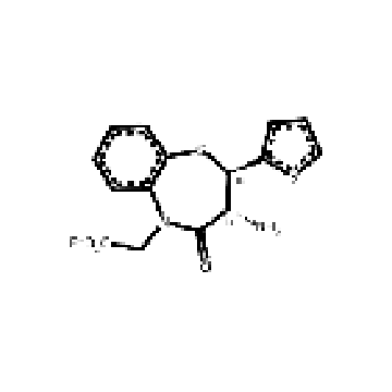 CCOC(=O)CN1C(=O)[C@@H](N)[C@H](c2cccs2)Sc2ccccc21